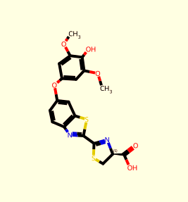 COc1cc(Oc2ccc3nc(C4=N[C@@H](C(=O)O)CS4)sc3c2)cc(OC)c1O